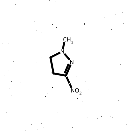 CN1C[C]C([N+](=O)[O-])=N1